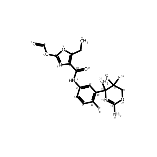 CCc1oc(OC=O)nc1C(=O)Nc1ccc(F)c(C2(C)N=C(N)OCC2(F)F)c1